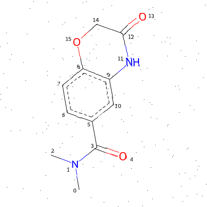 CN(C)C(=O)c1ccc2c(c1)NC(=O)CO2